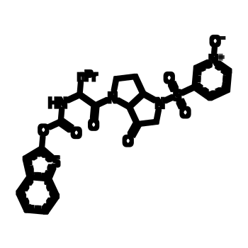 CCCC(NC(=O)Oc1cc2ccccc2s1)C(=O)N1CCC2C1C(=O)CN2S(=O)(=O)c1ccc[n+]([O-])c1